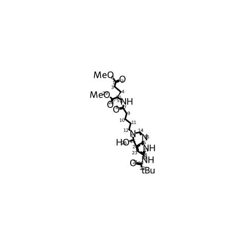 COC(=O)CC[C@@H](NC(=O)CCCCN1C=Nc2[nH]c(NC(=O)C(C)(C)C)cc2C1O)C(=O)OC